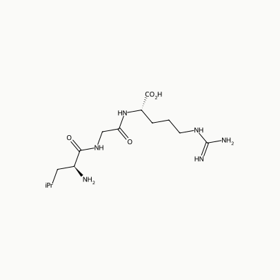 CC(C)C[C@H](N)C(=O)NCC(=O)N[C@@H](CCCNC(=N)N)C(=O)O